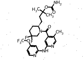 Cc1cnc(Nc2cc(OC(F)(F)F)ccn2)cc1C(=O)N1CC(F)(F)CC[C@H]1CCC(C)(C)OC(N)=O